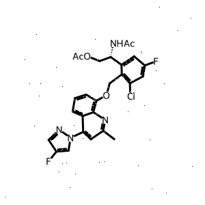 CC(=O)N[C@@H](COC(C)=O)c1cc(F)cc(Cl)c1COc1cccc2c(-n3cc(F)cn3)cc(C)nc12